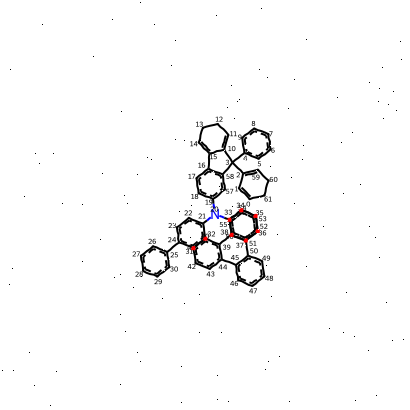 C1=CC(C2(c3ccccc3)C3=CCCC=C3c3ccc(N(c4ccc(-c5ccccc5)cc4)c4ccccc4-c4ccccc4-c4ccccc4-c4ccccc4)cc32)=CCC1